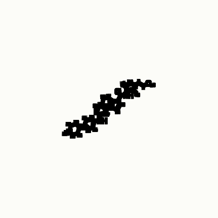 COCCn1nc(C)c(NC(=O)c2ccn3c2CCc2cnc(Nc4ccc(C5CCN(C)CC5)cc4)nc2-3)c1C